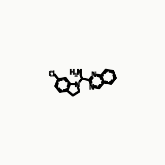 NC(c1ncc2ccccc2n1)N1CCc2ccc(Cl)cc21